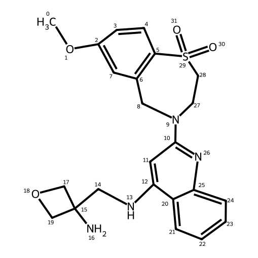 COc1ccc2c(c1)CN(c1cc(NCC3(N)COC3)c3ccccc3n1)CCS2(=O)=O